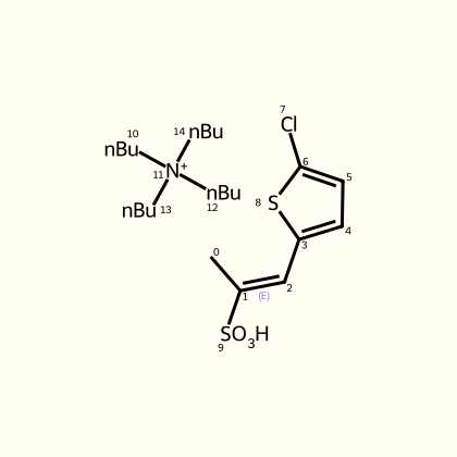 C/C(=C\c1ccc(Cl)s1)S(=O)(=O)O.CCCC[N+](CCCC)(CCCC)CCCC